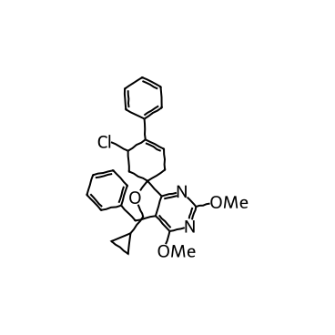 COc1nc(OC)c(Cc2ccccc2)c(C2(OCC3CC3)CC=C(c3ccccc3)C(Cl)C2)n1